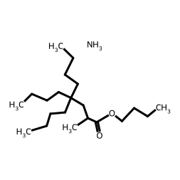 CCCCOC(=O)C(C)CC(CCCC)(CCCC)CCCC.N